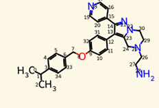 CC(C)c1ccc(COc2ccc(-c3c(-c4ccncc4)nn4c3CN(CCN)CC4)cc2)cc1